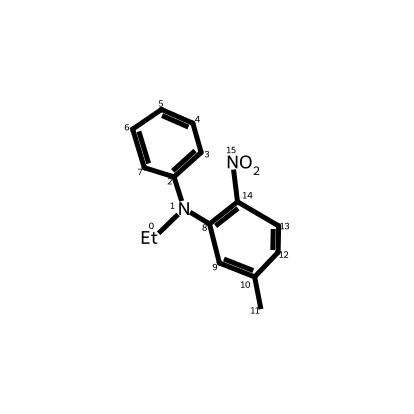 CCN(c1ccccc1)c1cc(C)ccc1[N+](=O)[O-]